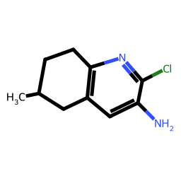 CC1CCc2nc(Cl)c(N)cc2C1